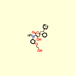 CCCN(C1=C(O)CC(CCc2ccccc2)(c2ccccc2)OC1=O)c1cccc(OCCO)c1